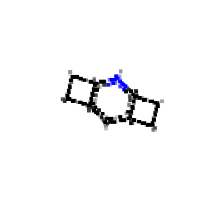 c1c2c(nc3c1CC3)CC2